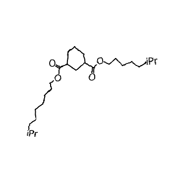 CC(C)CCCCCCCOC(=O)C1CCCC(C(=O)OCCCCCC(C)C)C1